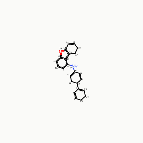 C1=CC(C2C=CC(Nc3cccc4oc5c(c34)CCC=C5)=CC2)=CCC1